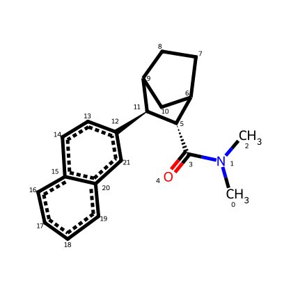 CN(C)C(=O)[C@H]1C2CCC(C2)[C@@H]1c1ccc2ccccc2c1